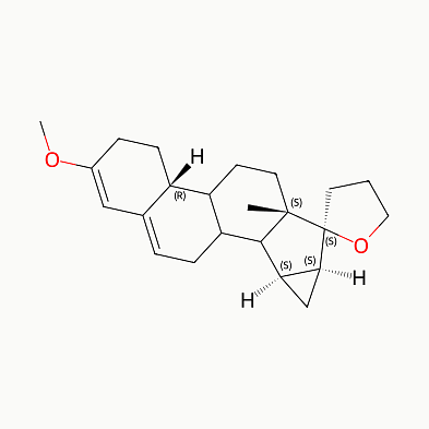 COC1=CC2=CCC3C(CC[C@@]4(C)C3[C@@H]3C[C@@H]3[C@@]43CCCO3)[C@H]2CC1